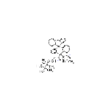 C=C(/C=C\C)C1(/C(=C\C(C)C)CBOC(C)(C)C(C)(C)O)c2ccccc2C2(c3ccccc3-c3ccccc32)c2ccccc21